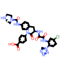 O=C(Nc1cc(Cl)ccc1-n1cnnn1)C(=O)NC(Cc1ccc(NC(=O)N2CCNCC2)cc1)C(=O)Nc1ccc(C(=O)O)cc1